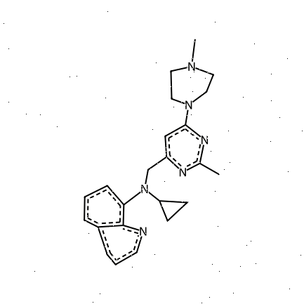 Cc1nc(CN(c2cccc3cccnc23)C2CC2)cc(N2CCN(C)CC2)n1